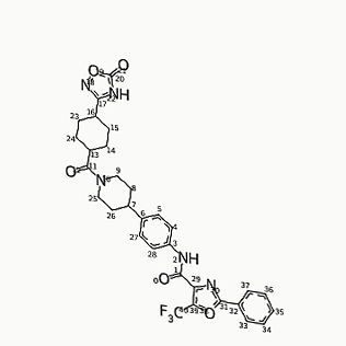 O=C(Nc1ccc(C2CCN(C(=O)C3CCC(c4noc(=O)[nH]4)CC3)CC2)cc1)c1nc(-c2ccccc2)oc1C(F)(F)F